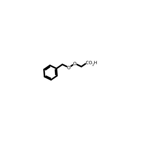 O=C(O)COOCc1ccccc1